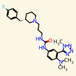 CN(C)c1ccc(NC(=O)NCCCN2CCC[C@@H](Cc3ccc(F)cc3)C2)cc1-c1nnnn1C